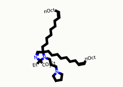 CCCCCCCC/C=C\CCCCCCCC1(CCCCCCC/C=C\CCCCCCCC)C=NC(CC)(C(=O)OCC)N1CCCN1CCCC1